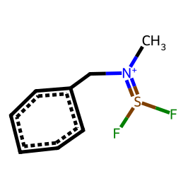 C[N+](Cc1ccccc1)=S(F)F